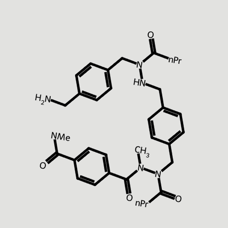 CCCC(=O)N(Cc1ccc(CN)cc1)NCc1ccc(CN(C(=O)CCC)N(C)C(=O)c2ccc(C(=O)NC)cc2)cc1